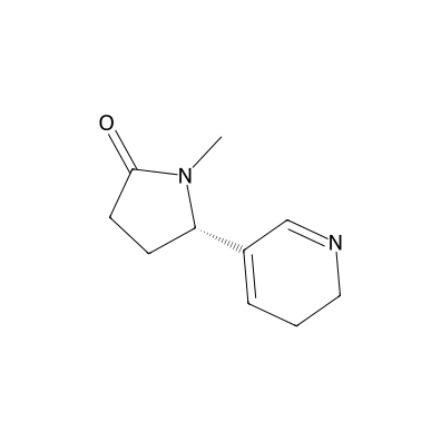 CN1C(=O)CC[C@H]1C1=CCCN=C1